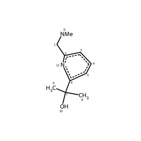 CNCc1cccc(C(C)(C)O)n1